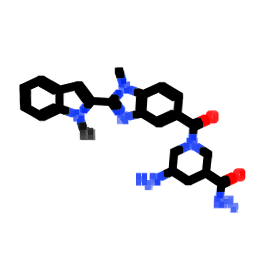 CCn1c(-c2nc3cc(C(=O)N4CC(N)CC(C(N)=O)C4)ccc3n2C)cc2ccccc21